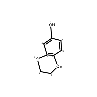 Oc1ccc2c(c1)SCCO2